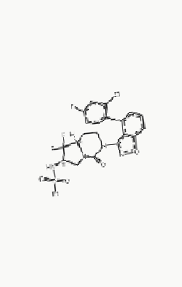 CCS(=O)(=O)N[C@@H]1CN2C(=O)N(c3noc4cccc(-c5ccc(F)cc5Cl)c34)CC[C@@H]2C1(F)F